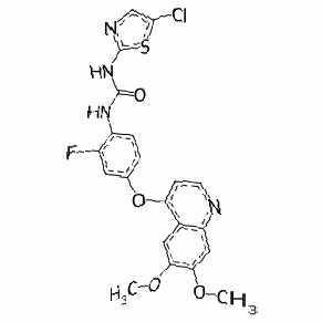 COc1cc2nccc(Oc3ccc(NC(=O)Nc4ncc(Cl)s4)c(F)c3)c2cc1OC